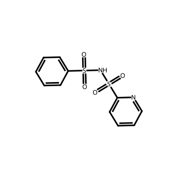 O=S(=O)(NS(=O)(=O)c1ccccn1)c1ccccc1